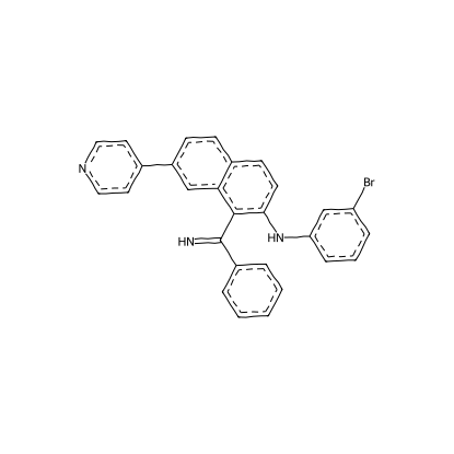 N=C(c1ccccc1)c1c(Nc2cccc(Br)c2)ccc2ccc(-c3ccncc3)cc12